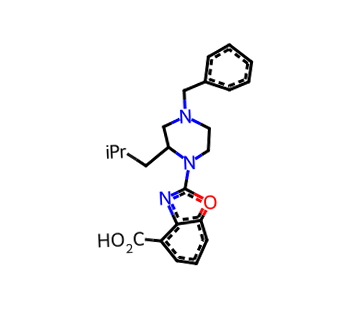 CC(C)CC1CN(Cc2ccccc2)CCN1c1nc2c(C(=O)O)cccc2o1